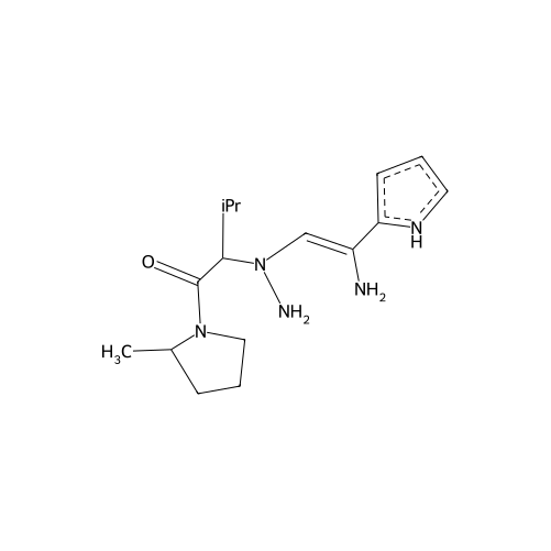 CC(C)C(C(=O)N1CCCC1C)N(N)/C=C(\N)c1ccc[nH]1